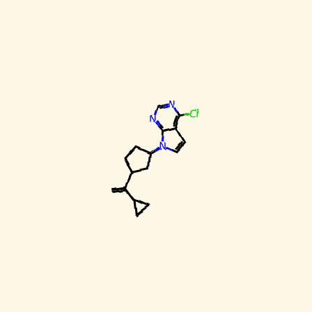 C=C(C1CC1)C1CCC(n2ccc3c(Cl)ncnc32)C1